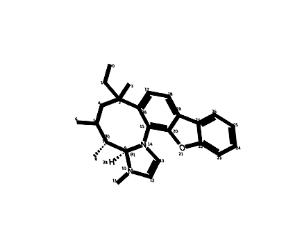 CCC1(C)CC(C)[C@@H](C)[C@@H]2N(C)C=CN2c2c1ccc1c2oc2ccccc21